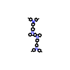 Cc1ccc(N(c2ccc(C)cc2)c2ccc(-c3ccc(-n4c5ccccc5c5cc6c(cc54)c4ccccc4n6-c4ccc(-c5ccc(N(c6ccc(C)cc6)c6ccc(C)cc6)cc5)cc4)cc3)cc2)cc1